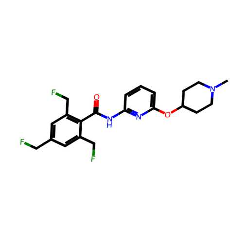 CN1CCC(Oc2cccc(NC(=O)c3c(CF)cc(CF)cc3CF)n2)CC1